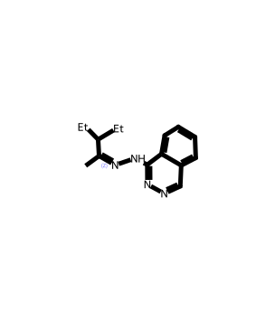 CCC(CC)/C(C)=N\Nc1nncc2ccccc12